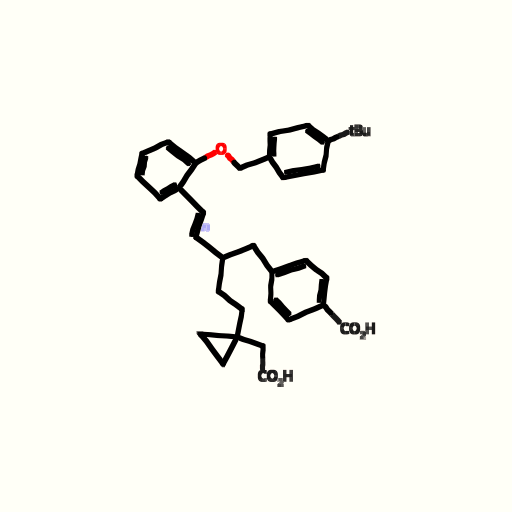 CC(C)(C)c1ccc(COc2ccccc2/C=C/C(CCC2(CC(=O)O)CC2)Cc2ccc(C(=O)O)cc2)cc1